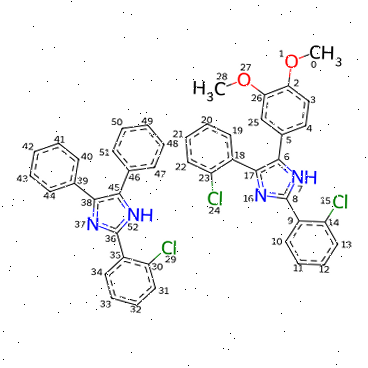 COc1ccc(-c2[nH]c(-c3ccccc3Cl)nc2-c2ccccc2Cl)cc1OC.Clc1ccccc1-c1nc(-c2ccccc2)c(-c2ccccc2)[nH]1